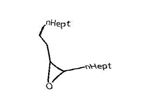 CCCCCCCCC1OC1CCCCCCC